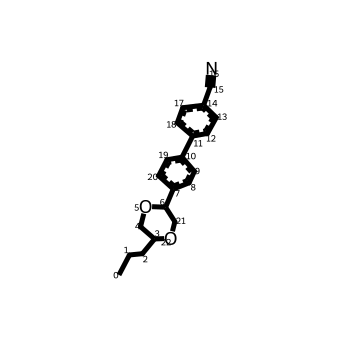 CCCC1COC(c2ccc(-c3ccc(C#N)cc3)cc2)CO1